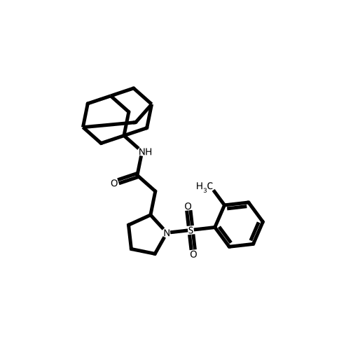 Cc1ccccc1S(=O)(=O)N1CCCC1CC(=O)NC12CC3CC(CC(C3)C1)C2